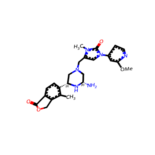 COc1cc(-n2cc(CN3C[C@@H](c4ccc5c(c4C)COC5=O)N[C@@H](N)C3)n(C)c2=O)ccn1